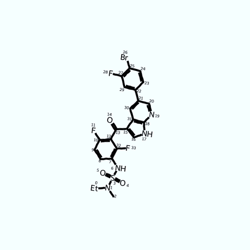 CCN(C)S(=O)(=O)Nc1ccc(F)c(C(=O)c2c[nH]c3ncc(-c4ccc(Br)c(F)c4)cc23)c1F